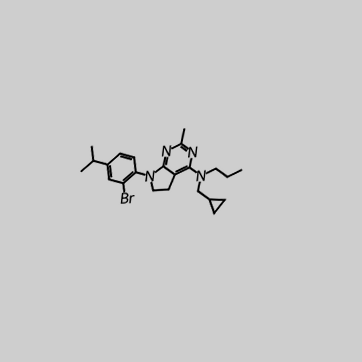 CCCN(CC1CC1)c1nc(C)nc2c1CCN2c1ccc(C(C)C)cc1Br